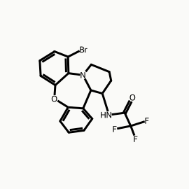 O=C(NC1CCCN2c3c(Br)cccc3Oc3ccccc3C12)C(F)(F)F